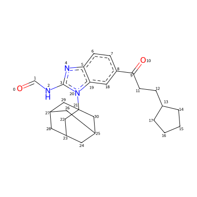 O=CNc1nc2ccc(C(=O)CCC3CCCC3)cc2n1C12CC3CC(CC(C3)C1)C2